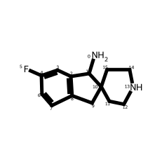 NC1c2cc(F)ccc2CC12CCNCC2